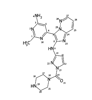 Cc1nc(N)cc(-c2c(Nc3ccn(C(=O)N4CCNCC4)n3)nc3cccnn23)n1